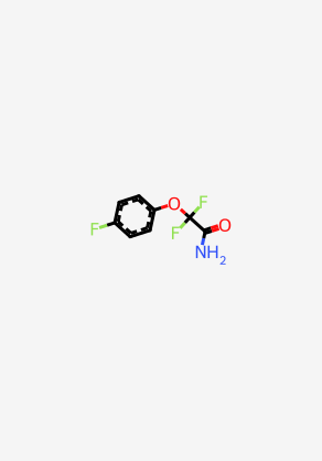 NC(=O)C(F)(F)Oc1ccc(F)cc1